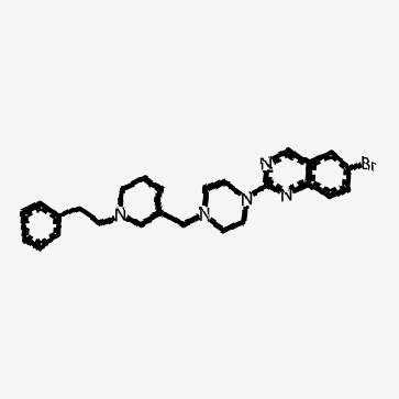 Brc1ccc2nc(N3CCN(CC4CCCN(CCc5ccccc5)C4)CC3)ncc2c1